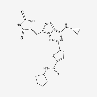 O=C1NC(=O)/C(=C/c2cnn3c(NC4CC4)nc(C4CC=C(C(=O)NC5CCCC5)S4)nc23)N1